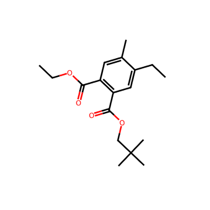 CCOC(=O)c1cc(C)c(CC)cc1C(=O)OCC(C)(C)C